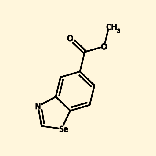 COC(=O)c1ccc2[se]cnc2c1